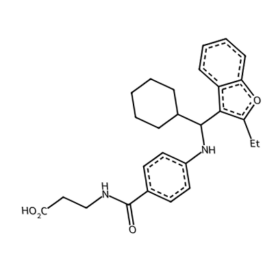 CCc1oc2ccccc2c1C(Nc1ccc(C(=O)NCCC(=O)O)cc1)C1CCCCC1